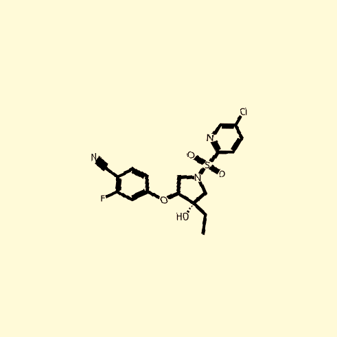 CC[C@]1(O)CN(S(=O)(=O)c2ccc(Cl)cn2)CC1Oc1ccc(C#N)c(F)c1